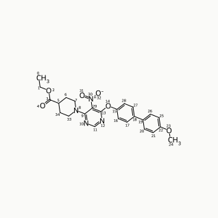 CCOC(=O)C1CCN(c2ncnc(Oc3ccc(-c4ccc(OC)cc4)cc3)c2[N+](=O)[O-])CC1